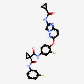 O=C(Nc1cn2nc(Oc3ccc(NC(=O)C4(C(=O)Nc5cccc(F)c5)CC4)cc3F)ccc2n1)C1CC1